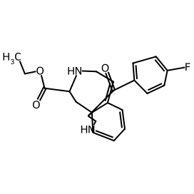 CCOC(=O)C1CC23C(=CCN1)C=CC=C2NCC3C(=O)c1ccc(F)cc1